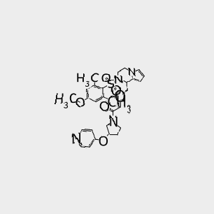 COc1cc(C)c(S(=O)(=O)N2CCn3cccc3C2COCC(=O)N2CCC(Oc3ccncc3)C2)c(C)c1